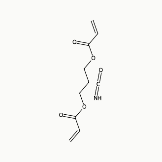 C=CC(=O)OCCCOC(=O)C=C.N=C=O